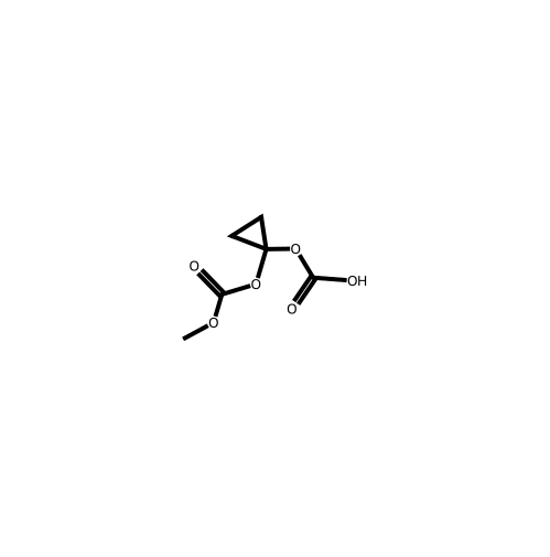 COC(=O)OC1(OC(=O)O)CC1